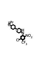 CCCOC1CCC(N2CCC(Nc3cc(Cl)c(C(F)(F)F)cc3[N+](=O)[O-])CC2)CC1